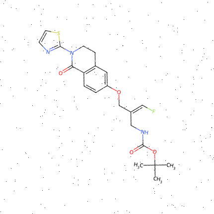 CC(C)(C)OC(=O)NCC(=CF)COc1ccc2c(c1)CCN(c1nccs1)C2=O